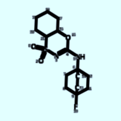 O=S1(=O)N=C(NC23CCC(F)(CC2)CC3)OC2CCCCC21